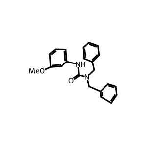 COc1cccc(NC(=O)N(Cc2ccccc2)Cc2ccccc2)c1